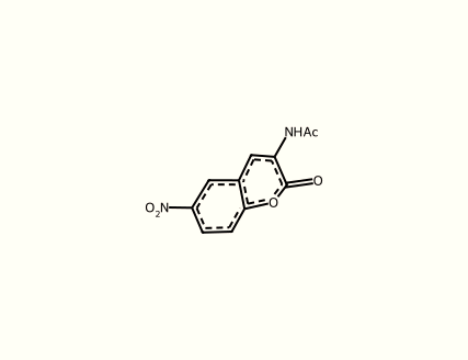 CC(=O)Nc1cc2cc([N+](=O)[O-])ccc2oc1=O